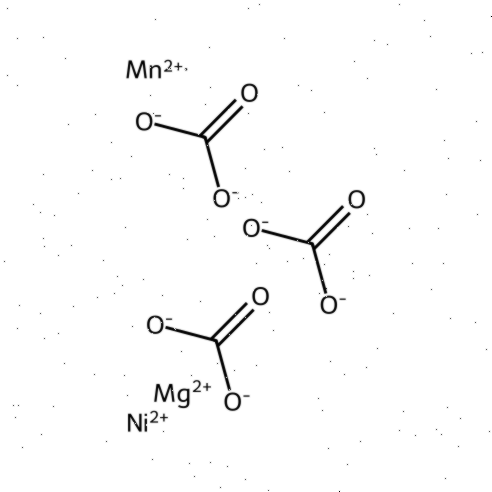 O=C([O-])[O-].O=C([O-])[O-].O=C([O-])[O-].[Mg+2].[Mn+2].[Ni+2]